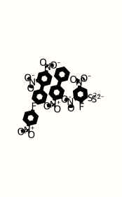 O=[N+]([O-])c1ccc(-c2ccccc2)c([N+](=O)[O-])c1.O=[N+]([O-])c1ccc(-c2ccccc2)cc1.O=[N+]([O-])c1ccc(F)c([N+](=O)[O-])c1.O=[N+]([O-])c1ccc(F)cc1.[S-2].[S-2]